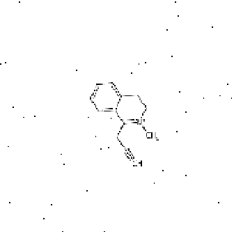 C#CCC1=[N+](C)CCc2ccccc21